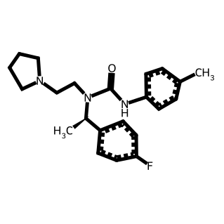 Cc1ccc(NC(=O)N(CCN2CCCC2)[C@H](C)c2ccc(F)cc2)cc1